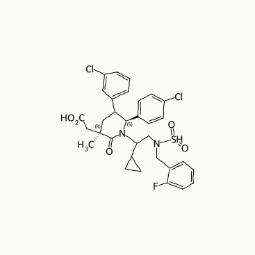 C[C@]1(CC(=O)O)CC(c2cccc(Cl)c2)[C@@H](c2ccc(Cl)cc2)N(C(CN(Cc2ccccc2F)[SH](=O)=O)C2CC2)C1=O